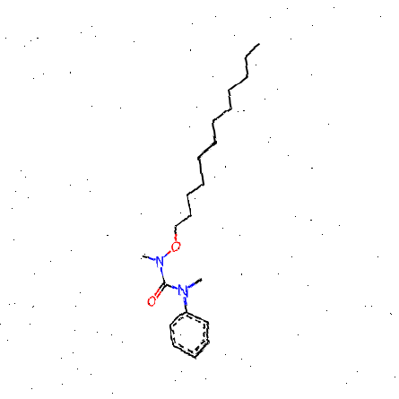 CCCCCCCCCCCCON(C)C(=O)N(C)c1ccccc1